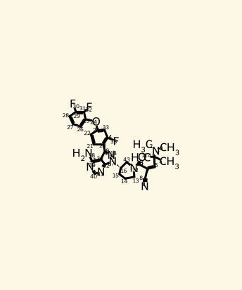 CN(C)C(C)(C)/C=C(/C#N)C(=O)N1CCC[C@H](n2nc(-c3ccc(Oc4cccc(F)c4F)cc3F)c3c(N)ncnc32)C1